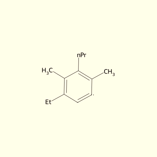 CCCc1c(C)[c]cc(CC)c1C